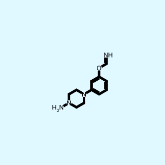 N=COc1cccc(N2CCN(N)CC2)c1